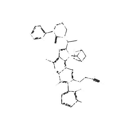 Cc1nc2c(F)c(-c3cccc(Cl)c3Cl)c(CCC#N)cc2c2c1cc(C(C)N1CCCN(c3ccccn3)C1=O)n2C1C2CNC1C2